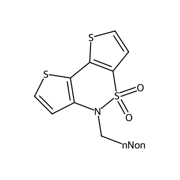 CCCCCCCCCCN1c2ccsc2-c2sccc2S1(=O)=O